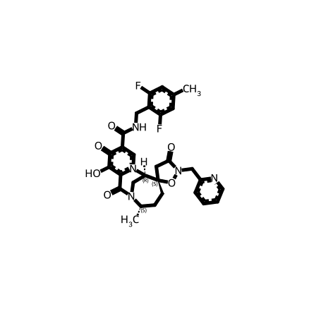 Cc1cc(F)c(CNC(=O)c2cn3c(c(O)c2=O)C(=O)N2C[C@@H]3[C@]3(CC[C@@H]2C)CC(=O)N(Cc2ccccn2)O3)c(F)c1